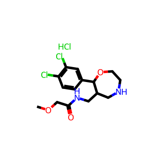 COCC(=O)NCC1CNCCOC1c1ccc(Cl)c(Cl)c1.Cl